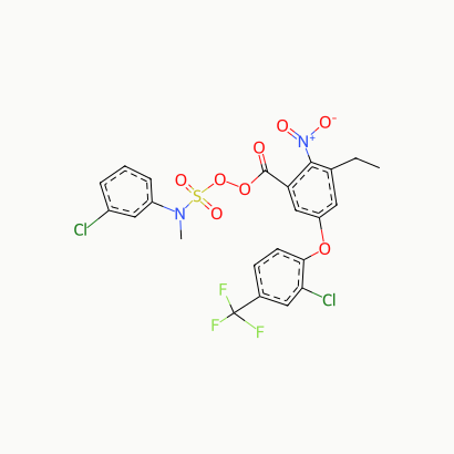 CCc1cc(Oc2ccc(C(F)(F)F)cc2Cl)cc(C(=O)OOS(=O)(=O)N(C)c2cccc(Cl)c2)c1[N+](=O)[O-]